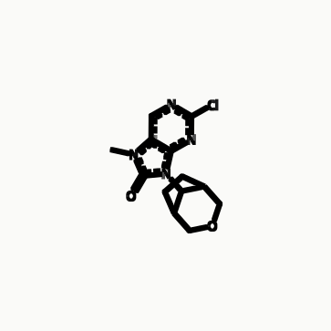 Cn1c(=O)n(C2C3CCC2COC3)c2nc(Cl)ncc21